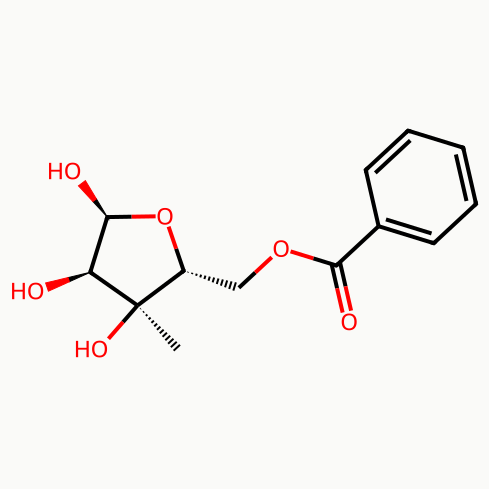 C[C@@]1(O)[C@@H](COC(=O)c2ccccc2)O[C@H](O)[C@@H]1O